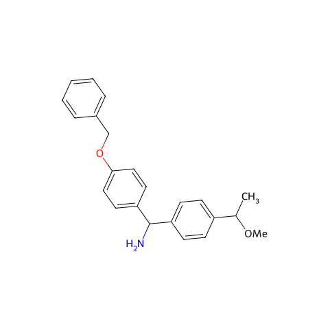 COC(C)c1ccc(C(N)c2ccc(OCc3ccccc3)cc2)cc1